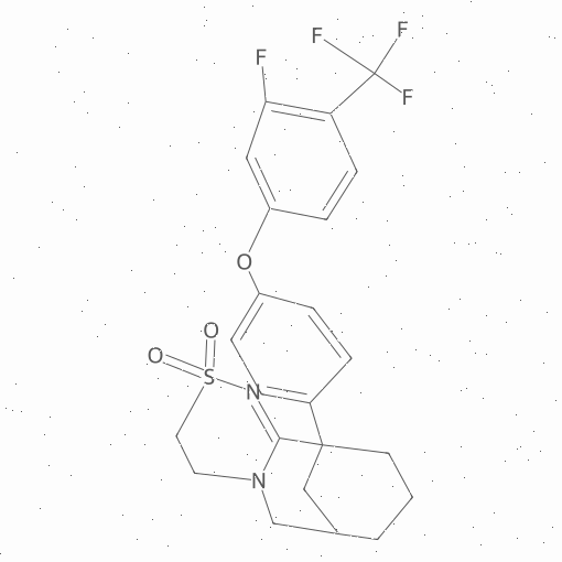 O=S1(=O)CCN2CC3CCCC(c4ccc(Oc5ccc(C(F)(F)F)c(F)c5)cc4)(C3)C2=N1